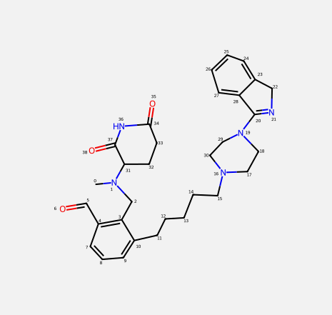 CN(Cc1c(C=O)cccc1CCCCCN1CCN(C2=NCc3ccccc32)CC1)C1CCC(=O)NC1=O